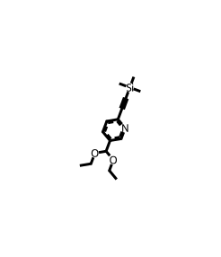 CCOC(OCC)c1ccc(C#C[Si](C)(C)C)nc1